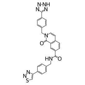 O=C(NCc1ccc(-c2csnn2)cc1)c1ccc2ccn(Cc3ccc(-c4nn[nH]n4)cc3)c(=O)c2c1